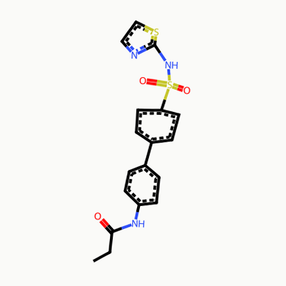 CCC(=O)Nc1ccc(-c2ccc(S(=O)(=O)Nc3nccs3)cc2)cc1